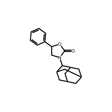 O=C1OC(c2ccccc2)CN1C1C2CC3CC(C2)CC1C3